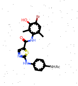 CC(=O)Nc1ccc(Nc2ncc(C(=O)Nc3c(C)cc(Br)c(O)c3C)s2)cc1